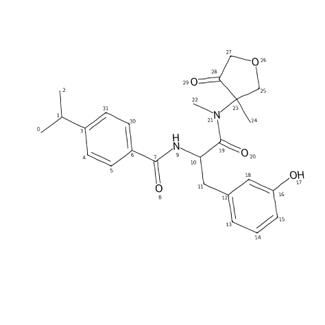 CC(C)c1ccc(C(=O)NC(Cc2cccc(O)c2)C(=O)N(C)C2(C)COCC2=O)cc1